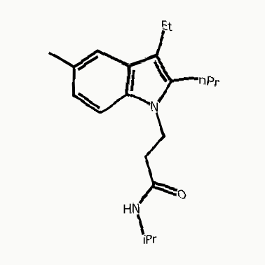 CCCc1c(CC)c2cc(C)ccc2n1CCC(=O)NC(C)C